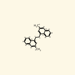 Cc1cc(CCc2cc(C)cc3ccccc23)c2ccccc2c1